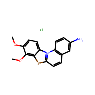 COc1ccc2c(sc3ccc4cc(N)ccc4[n+]32)c1OC.[Cl-]